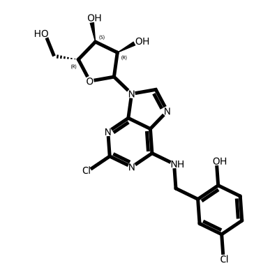 OC[C@H]1OC(n2cnc3c(NCc4cc(Cl)ccc4O)nc(Cl)nc32)[C@H](O)[C@@H]1O